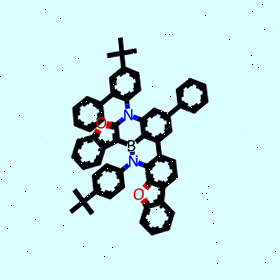 CC(C)(C)c1ccc(N2B3c4c(cc(-c5ccccc5)cc4N(c4ccc(C(C)(C)C)cc4-c4ccccc4)c4oc5ccccc5c43)-c3ccc4c(oc5ccccc54)c32)cc1